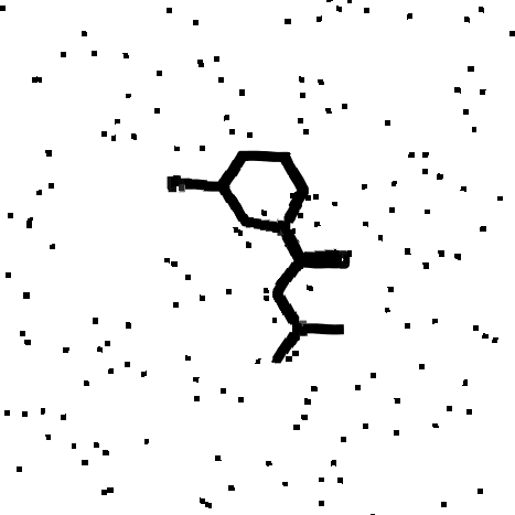 CC(C)C1CCCN(C(=O)CN(C)C)C1